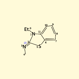 CCn1/c(=N/C)sc2ccccc21